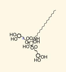 CCCCCCCCCCCCCCCCCCNC(=O)C1(O)C[C@@H](OC(=O)C=Cc2ccc(O)c(O)c2)C(O)[C@H](OC(=O)/C=C/c2ccc(O)c(O)c2)C1